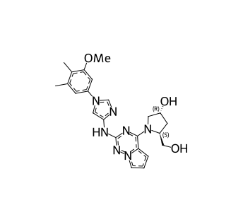 COc1cc(-n2cnc(Nc3nc(N4C[C@H](O)C[C@H]4CO)c4cccn4n3)c2)cc(C)c1C